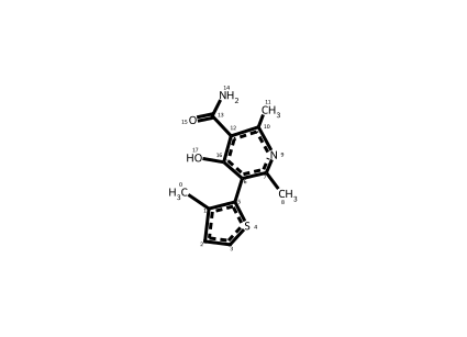 Cc1ccsc1-c1c(C)nc(C)c(C(N)=O)c1O